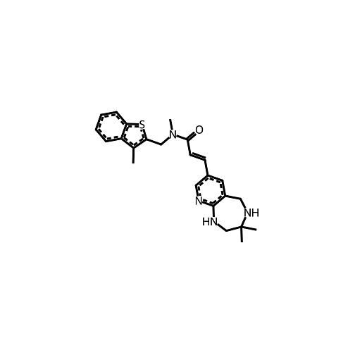 Cc1c(CN(C)C(=O)/C=C/c2cnc3c(c2)CNC(C)(C)CN3)sc2ccccc12